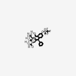 CC(C)Cn1c(CN(C(=O)O)C(C)(C)C)c(-c2ccccc2)c2ccc(OS(=O)(=O)C(F)(F)F)cc2c1=O